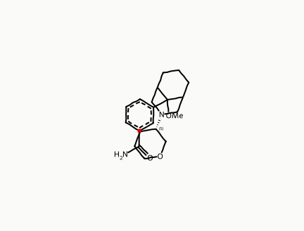 COC1(c2cccc(C(N)=O)c2)C2CCCC1CN([C@H]1CCCOC1)C2